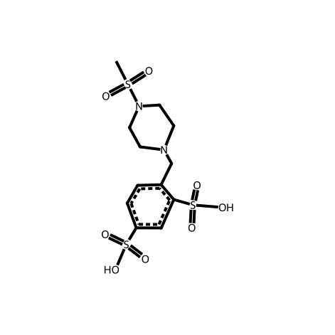 CS(=O)(=O)N1CCN(Cc2ccc(S(=O)(=O)O)cc2S(=O)(=O)O)CC1